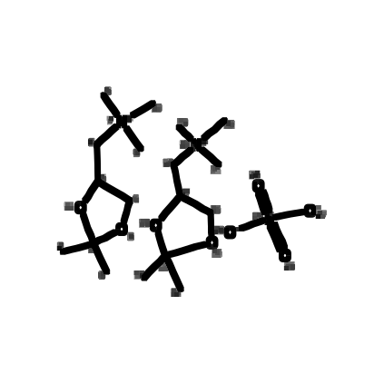 CC1(C)OCC(C[N+](C)(C)C)O1.CC1(C)OCC(C[N+](C)(C)C)O1.O=S(=O)([O-])[O-]